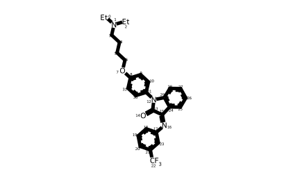 CCN(CC)CCCCOc1ccc(N2C(=O)C(=Nc3cccc(C(F)(F)F)c3)c3ccccc32)cc1